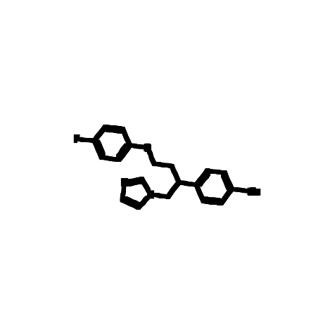 CC(C)(C)c1ccc(C(CCOc2ccc(F)cc2)Cn2ccnc2)cc1